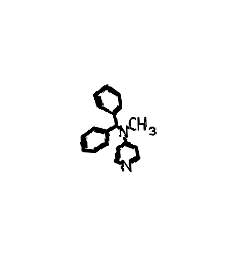 CN(c1ccncc1)C(c1ccccc1)c1ccccc1